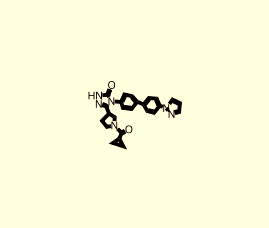 O=C(C1CC1)N1CCC(c2n[nH]c(=O)n2-c2ccc(-c3ccc(-n4cccn4)cc3)cc2)C1